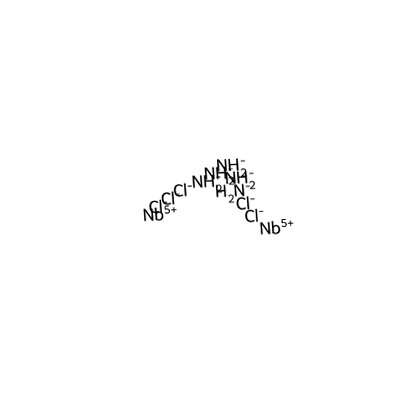 [Cl-].[Cl-].[Cl-].[Cl-].[Cl-].[NH2-].[NH2-].[NH2-].[NH2-].[NH2-].[Nb+5].[Nb+5]